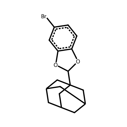 Brc1ccc2c(c1)OC(C13CC4CC(CC(C4)C1)C3)O2